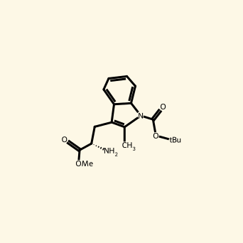 COC(=O)[C@@H](N)Cc1c(C)n(C(=O)OC(C)(C)C)c2ccccc12